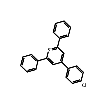 [Cl-].c1ccc(-c2cc(-c3ccccc3)[s+]c(-c3ccccc3)c2)cc1